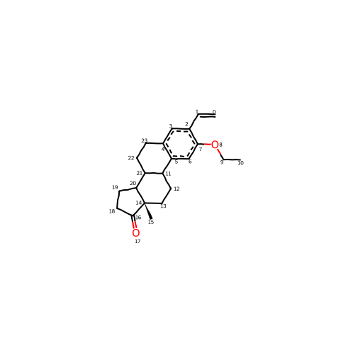 C=Cc1cc2c(cc1OCC)C1CC[C@]3(C)C(=O)CCC3C1CC2